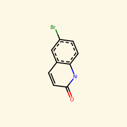 O=C1C=Cc2cc(Br)ccc2[N]1